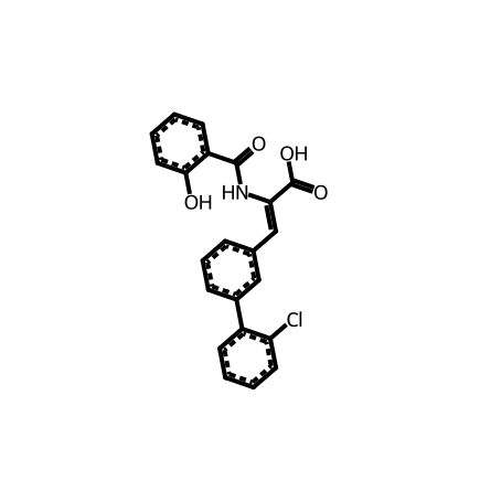 O=C(O)/C(=C/c1cccc(-c2ccccc2Cl)c1)NC(=O)c1ccccc1O